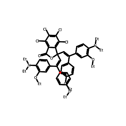 CCOc1ccc(C(=CC2(C=C(c3ccc(OCC)cc3)c3ccc(N(CC)CC)c(OCC)c3)OC(=O)c3c(Cl)c(Cl)c(Cl)c(Cl)c32)c2ccc(N(CC)CC)c(OCC)c2)cc1